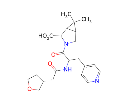 CC1(C)C2CN(C(=O)C(Cc3ccncc3)NC(=O)C[C@H]3CCOC3)C(C(=O)O)C21